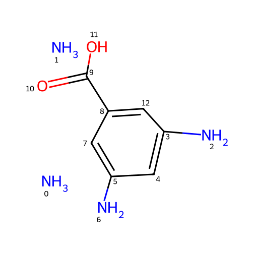 N.N.Nc1cc(N)cc(C(=O)O)c1